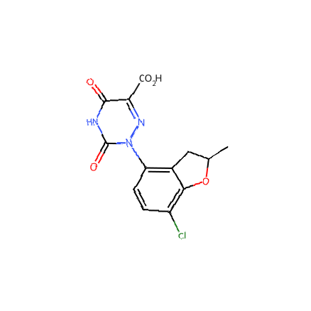 CC1Cc2c(-n3nc(C(=O)O)c(=O)[nH]c3=O)ccc(Cl)c2O1